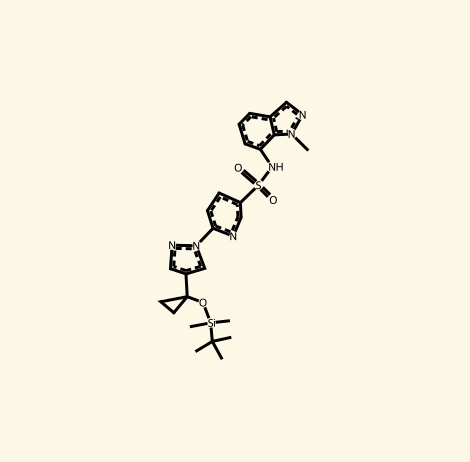 Cn1ncc2cccc(NS(=O)(=O)c3ccc(-n4cc(C5(O[Si](C)(C)C(C)(C)C)CC5)cn4)nc3)c21